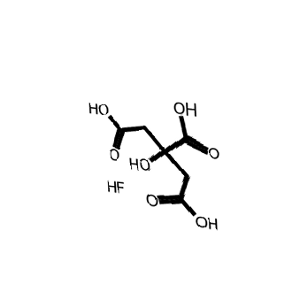 F.O=C(O)CC(O)(CC(=O)O)C(=O)O